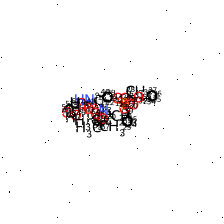 CC(C)CN(C[C@@H](O)[C@H](Cc1ccc(OCP(=O)(OCc2ccccc2)O[C@@H](C)C(=O)OCc2ccccc2)cc1)NC(=O)O[C@H]1CO[C@H]2OCC[C@H]21)C(=O)OC(C)(C)C